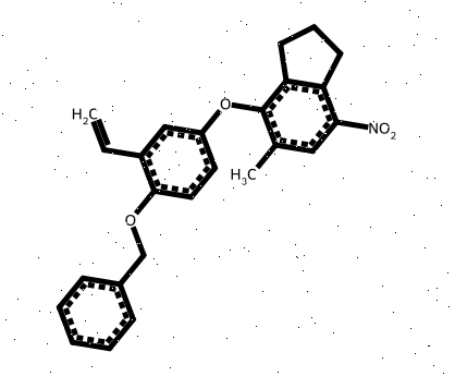 C=Cc1cc(Oc2c(C)cc([N+](=O)[O-])c3c2CCC3)ccc1OCc1ccccc1